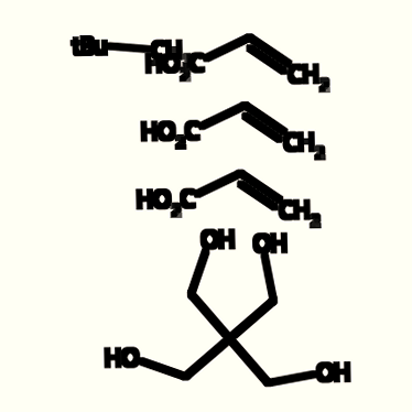 C=CC(=O)O.C=CC(=O)O.C=CC(=O)O.CC(C)(C)C.OCC(CO)(CO)CO